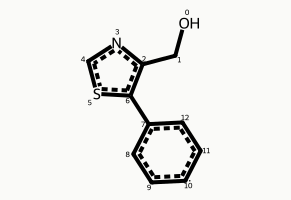 OCc1ncsc1-c1cc[c]cc1